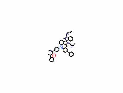 C=C/C=C\C=C(/C)C1(c2ccccc2)/C(=C/C=C\C)C(=C)c2c(N(c3ccc(/C(=C/C)c4oc5ccccc5c4C)cc3)c3ccc(-c4ccccc4)cc3)cccc21